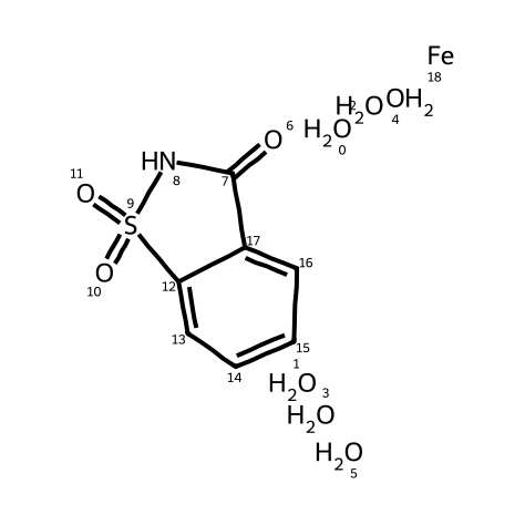 O.O.O.O.O.O.O=C1NS(=O)(=O)c2ccccc21.[Fe]